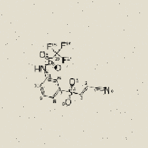 N#CC=CS(=O)(=O)c1cccc(NS(=O)(=O)C(F)(F)F)c1